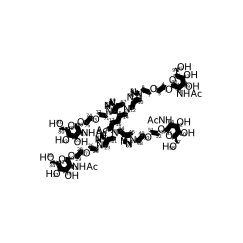 CC(=O)N[C@H]1[C@H](OCCOCCn2cc(CN(CCCCC(C(C)=O)N(Cc3cn(CCOCCO[C@@H]4O[C@H](CO)[C@H](O)[C@H](O)[C@H]4NC(C)=O)nn3)Cc3cn(CCOCCO[C@@H]4O[C@H](CO)[C@H](O)[C@H](O)[C@H]4NC(C)=O)nn3)Cc3cn(CCOCCOC4O[C@H](CO)[C@H](O)[C@H](O)[C@H]4NC(C)=O)nn3)nn2)O[C@H](CO)[C@H](O)[C@@H]1O